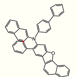 c1ccc(-c2ccc(N(c3ccc4ccccc4c3)c3cc4oc5c6ccccc6ccc5c4cc3-c3ccccc3)cc2)cc1